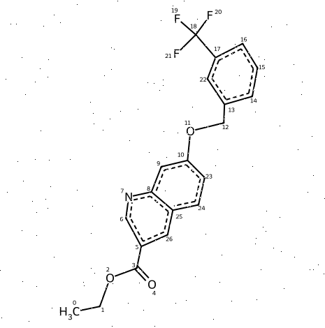 CCOC(=O)c1cnc2cc(OCc3cccc(C(F)(F)F)c3)ccc2c1